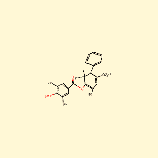 CC(C)C1=C(OC(=O)c2cc(C(C)C)c(O)c(C(C)C)c2)C(C)(C(C)C)C(c2ccccc2)C(C(=O)O)=C1